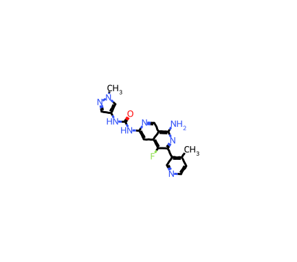 Cc1ccncc1-c1nc(N)c2cnc(NC(=O)Nc3cnn(C)c3)cc2c1F